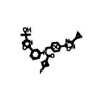 CC(C)(O)c1coc(-c2cccc(N(CC34CCC(c5nc(C6CC6)no5)(CC3)CC4)C(=O)C34CC(F)(C3)C4)c2)n1